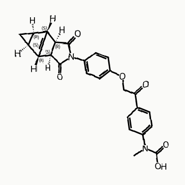 CN(C(=O)O)c1ccc(C(=O)COc2ccc(N3C(=O)[C@@H]4[C@@H]5C=C[C@@H]([C@H]6C[C@@H]56)[C@@H]4C3=O)cc2)cc1